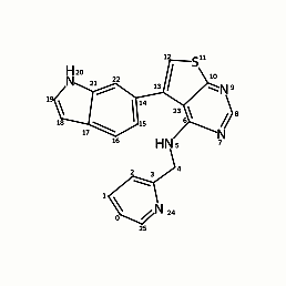 c1ccc(CNc2ncnc3scc(-c4ccc5cc[nH]c5c4)c23)nc1